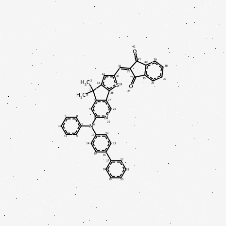 CC1(C)c2cc(N(c3ccccc3)c3ccc(-c4ccccc4)cc3)ncc2-c2sc(C=C3C(=O)c4ccccc4C3=O)cc21